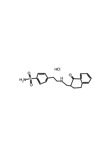 Cl.NS(=O)(=O)c1ccc(CCNCC2CCc3ccccc3C2=O)cc1